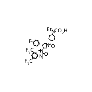 CCN(C(=O)O)[C@H]1CC[C@H](C(=O)N2C[C@@H](N(C)C(=O)N(C)c3cc(C(F)(F)F)cc(C(F)(F)F)c3)[C@H](c3ccc(F)cc3)C2)CC1